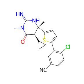 CN1C(=N)N[C@](C)(c2ccc(-c3cc(C#N)ccc3Cl)s2)[C@@H](C2CC2)C1=O